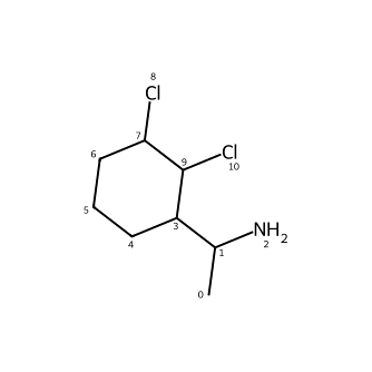 CC(N)C1CCCC(Cl)C1Cl